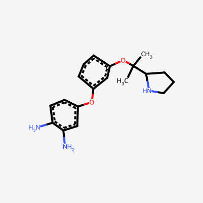 CC(C)(Oc1cccc(Oc2ccc(N)c(N)c2)c1)C1CCCN1